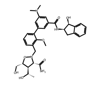 COc1c(CN2O[C@@H](CO)[C@H]([C@H](C)O)[C@H]2C(N)=O)cccc1-c1cc(C(=O)N[C@@H]2Cc3ccccc3[C@@H]2O)cc(N(C)C)c1